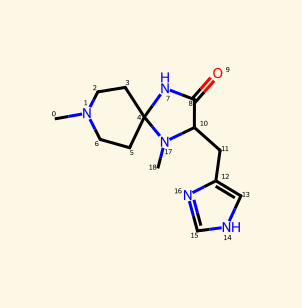 CN1CCC2(CC1)NC(=O)C(Cc1c[nH]cn1)N2C